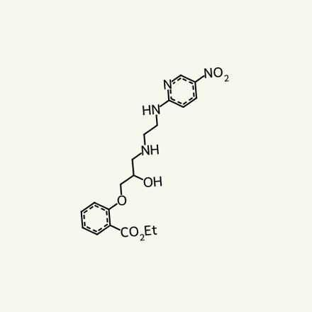 CCOC(=O)c1ccccc1OCC(O)CNCCNc1ccc([N+](=O)[O-])cn1